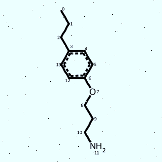 CCCc1ccc(OCCCN)cc1